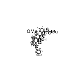 COC[C@@]12Cc3c(C)ccc(OC(=O)OC(C)(C)C)c3C(=O)C1=C(O)[C@]1(O)C(=O)c3c(OCc4ccccc4)noc3[C@@H](C)[C@@H]1C2